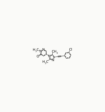 Cc1nc(C#Cc2cccc(Cl)c2)c(C)n1-c1cnn(C)c(=O)c1